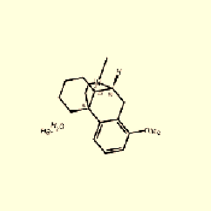 Br.COc1cccc2c1C[C@@H]1[C@@H]3CCCC[C@]23CCN1C.O